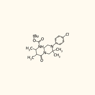 CC(NC(=O)OC(C)(C)C)C(C)C(=O)N1CCN(c2ccc(Cl)cc2)C(C)(C)C1